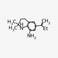 C=C(CC)c1cc(N)c2c(c1)CCC(C)(C)N2